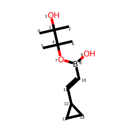 CC(C)(O)C(C)(C)OB(O)C=CC1CC1